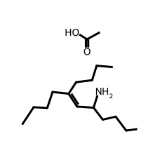 CC(=O)O.CCCCC(=CC(N)CCCC)CCCC